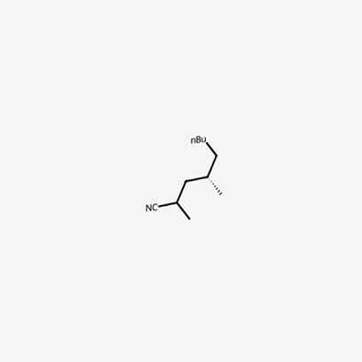 CCCCC[C@H](C)CC(C)C#N